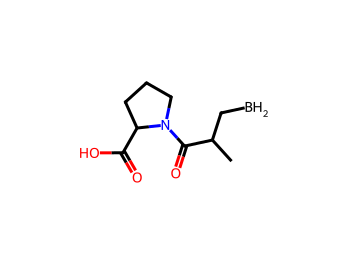 BCC(C)C(=O)N1CCCC1C(=O)O